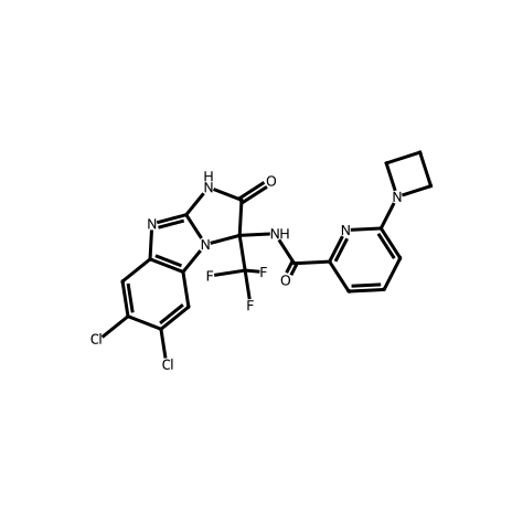 O=C(NC1(C(F)(F)F)C(=O)Nc2nc3cc(Cl)c(Cl)cc3n21)c1cccc(N2CCC2)n1